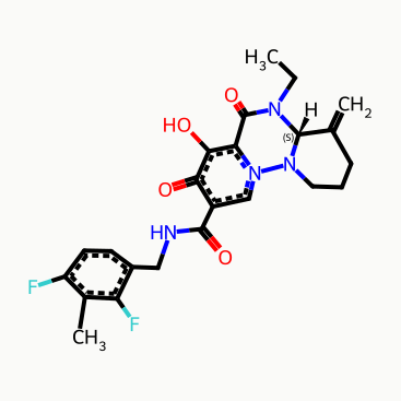 C=C1CCCN2[C@@H]1N(CC)C(=O)c1c(O)c(=O)c(C(=O)NCc3ccc(F)c(C)c3F)cn12